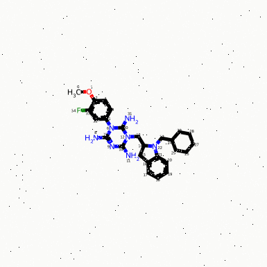 COc1ccc(N2C(N)=NC(N)N(CC3Cc4ccccc4N3CC3CCCCC3)C2N)cc1F